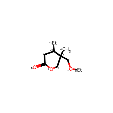 CCOCC1(C)COC(=O)CC1CC